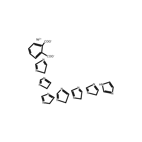 C1=NC=NC1.C1=NC=NC1.C1=NC=NC1.C1=NC=NC1.C1=NC=NC1.C1=NC=NC1.O=C([O-])c1ccccc1C(=O)[O-].[Ni+2].c1c[nH]cn1